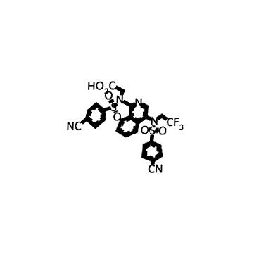 N#Cc1ccc(S(=O)(=O)N(CC(F)(F)F)c2cnc(N(CC(=O)O)S(=O)(=O)c3ccc(C#N)cc3)c3ccccc23)cc1